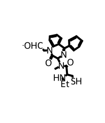 CCNC(CS)C(=O)N(C)C1N=C(c2ccccc2)c2ccccc2N(C[C]=O)C1=O